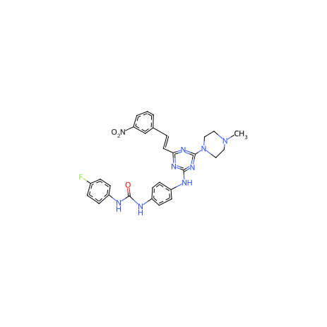 CN1CCN(c2nc(C=Cc3cccc([N+](=O)[O-])c3)nc(Nc3ccc(NC(=O)Nc4ccc(F)cc4)cc3)n2)CC1